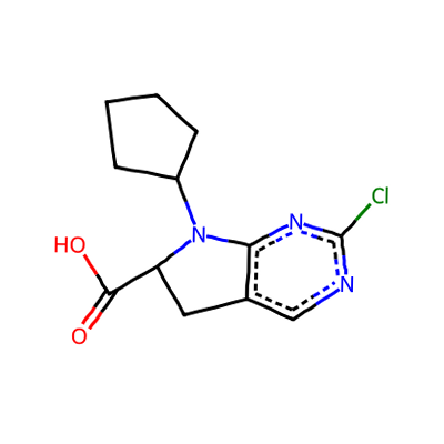 O=C(O)C1Cc2cnc(Cl)nc2N1C1CCCC1